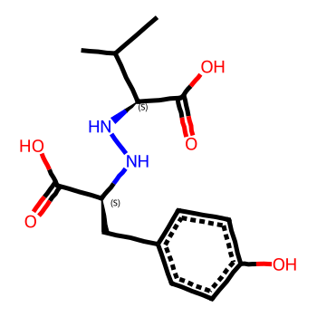 CC(C)[C@H](NN[C@@H](Cc1ccc(O)cc1)C(=O)O)C(=O)O